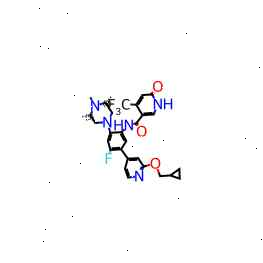 C[C@@H]1CN(c2cc(F)c(-c3ccnc(OCC4CC4)c3)cc2NC(=O)c2c[nH]c(=O)cc2C(F)(F)F)C[C@H](C)N1C